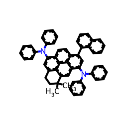 CC1(C)CCc2cc(N(c3ccccc3)c3ccccc3)c3ccc4c(-c5cccc6ccccc56)cc(N(c5ccccc5)c5ccccc5)c5cc1c2c3c45